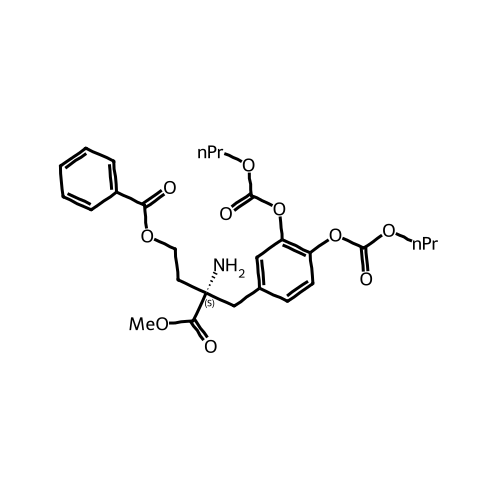 CCCOC(=O)Oc1ccc(C[C@](N)(CCOC(=O)c2ccccc2)C(=O)OC)cc1OC(=O)OCCC